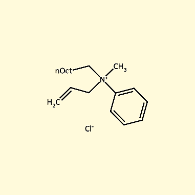 C=CC[N+](C)(CCCCCCCCC)c1ccccc1.[Cl-]